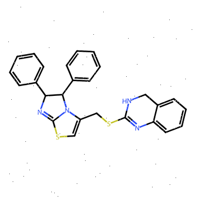 C1=C(CSC2=Nc3ccccc3CN2)N2C(=NC(c3ccccc3)C2c2ccccc2)S1